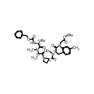 CC[C@H](C)[C@H](NC(=O)OCc1ccccc1)C(=O)N(C)[C@@H](C)C(=O)N1CC[C@H]1C(=O)N(CC)[C@H]1Cc2ccc(C)cc2N(CC(=O)OC(C)(C)C)C1=O